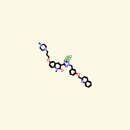 CN1CCN(CCCOc2ccc3c(c2)cc(-c2nnn(Cc4cccc(OCc5ccc6ccccc6n5)c4)n2)c(=O)n3C)CC1.Cl.Cl.Cl